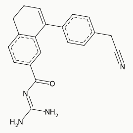 N#CCc1ccc(C2=CCCc3ccc(C(=O)N=C(N)N)cc32)cc1